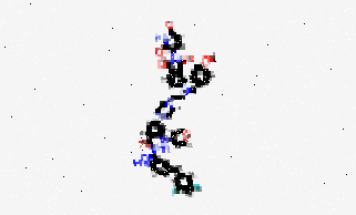 COc1ccc(CN(CCN2CCN(c3ccc(C(=O)Nc4n[nH]c5ccc(Cc6cc(F)cc(F)c6)cc45)c(NC4CCOCC4)c3)CC2)c2ccc3c(c2)C(=O)N(C2CCC(=O)NC2=O)C3=O)cc1